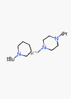 CC(C)N1CCN(C[C@H]2CCCN(C(C)(C)C)C2)CC1